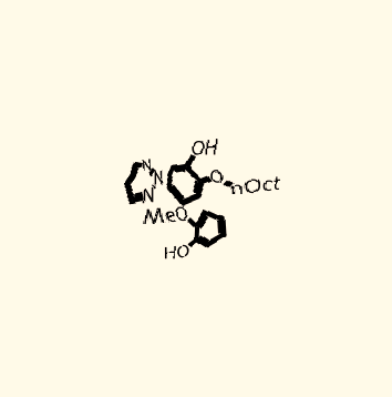 CCCCCCCCOc1ccccc1O.COc1ccccc1O.c1cnnnc1